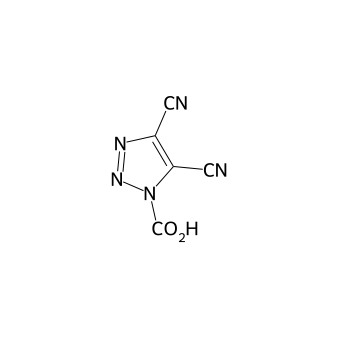 N#Cc1nnn(C(=O)O)c1C#N